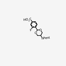 CCCCCC1COC(c2ccc(C(=O)O)cc2F)OC1